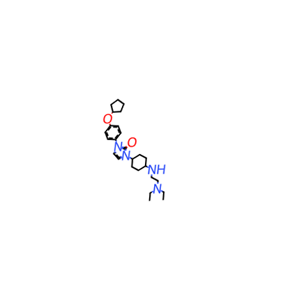 CCN(CC)CCNC1CCC(n2ccn(-c3ccc(OC4CCCC4)cc3)c2=O)CC1